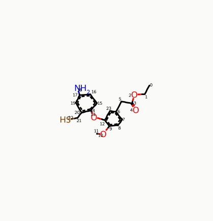 CCOC(=O)Cc1ccc(OC)c(Oc2ccc(N)cc2CS)c1